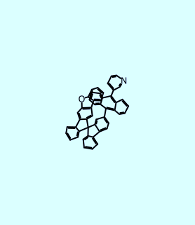 c1cncc(-c2c3ccccc3c(-c3ccc4c(c3)C3(c5ccccc5-4)c4ccccc4-c4cc5oc6ccccc6c5cc43)c3ccccc23)c1